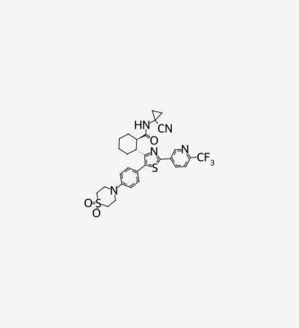 N#CC1(NC(=O)[C@@H]2CCCC[C@H]2c2nc(-c3ccc(C(F)(F)F)nc3)sc2-c2ccc(N3CCS(=O)(=O)CC3)cc2)CC1